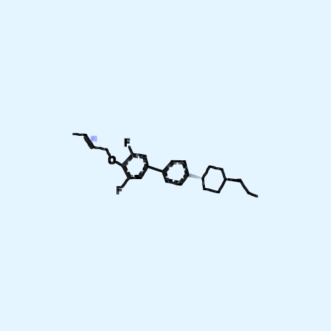 C/C=C/COc1c(F)cc(-c2ccc([C@H]3CC[C@H](CCC)CC3)cc2)cc1F